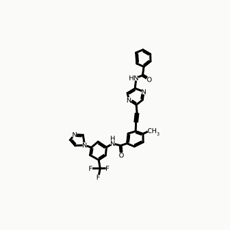 Cc1ccc(C(=O)Nc2cc(-n3ccnc3)cc(C(F)(F)F)c2)cc1C#Cc1cnc(NC(=O)c2ccccc2)cn1